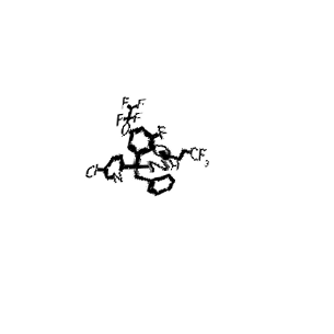 O=C(CCC(F)(F)F)N[C@@](Cc1ccccc1)(c1cc(F)cc(OC(F)(F)C(F)F)c1)c1ccc(Cl)cn1